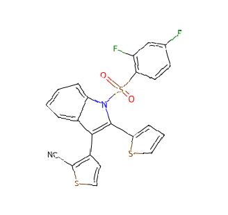 N#Cc1sccc1-c1c(-c2cccs2)n(S(=O)(=O)c2ccc(F)cc2F)c2ccccc12